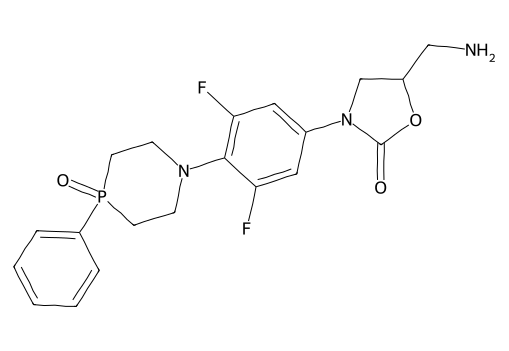 NCC1CN(c2cc(F)c(N3CCP(=O)(c4ccccc4)CC3)c(F)c2)C(=O)O1